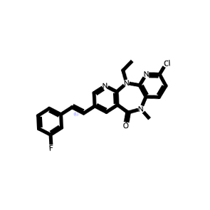 CCN1c2ncc(/C=C/c3cccc(F)c3)cc2C(=O)N(C)c2ccc(Cl)nc21